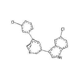 Clc1cccc(-c2cncc(-c3c[nH]c4ccc(Cl)cc34)c2)c1